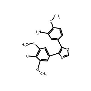 COc1ccc(-c2ocnc2-c2cc(OC)c(Cl)c(OC)c2)cc1N